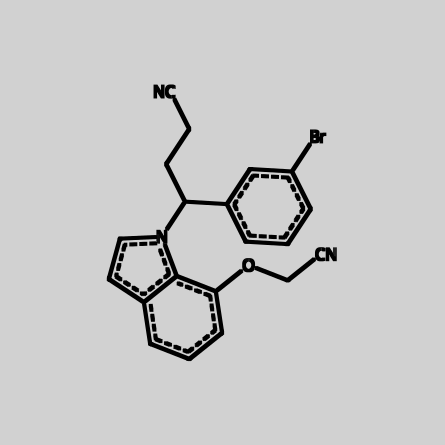 N#CCCC(c1cccc(Br)c1)n1ccc2cccc(OCC#N)c21